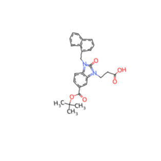 CC(C)(C)OC(=O)c1ccc2c(c1)n(CCC(=O)O)c(=O)n2Cc1cccc2ccccc12